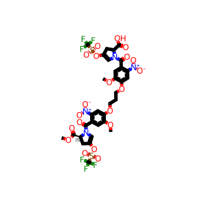 COC(=O)[C@@H]1CC(OS(=O)(=O)C(F)(F)F)=CN1C(=O)c1cc(OC)c(OCCCOc2cc([N+](=O)[O-])c(C(=O)N3C=C(OS(=O)(=O)C(F)(F)F)CC3C(=O)O)cc2OC)cc1[N+](=O)[O-]